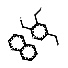 FCc1cnc(CF)c(CF)c1.c1ccc2ncccc2c1